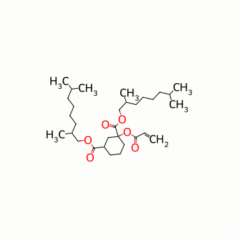 C=CC(=O)OC1(C(=O)OCC(C)CCCCC(C)C)CCCC(C(=O)OCC(C)CCCCC(C)C)C1